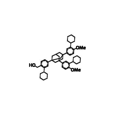 COc1ccc(C23CC4CC(c5ccc(CO)c(C6CCCCC6)c5)(C2)CC(c2ccc(OC)c(C5CCCCC5)c2)(C4)C3)cc1C1CCCCC1